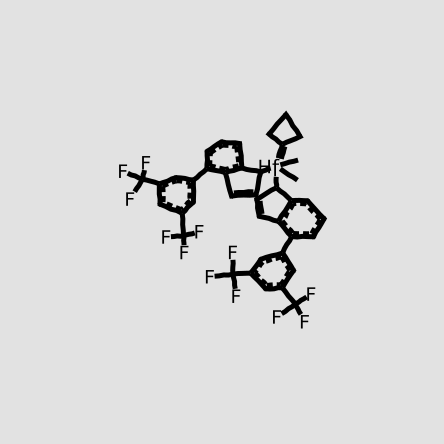 [CH3][Hf]([CH3])(=[C]1CCC1)([CH]1C=Cc2c(-c3cc(C(F)(F)F)cc(C(F)(F)F)c3)cccc21)[CH]1C=Cc2c(-c3cc(C(F)(F)F)cc(C(F)(F)F)c3)cccc21